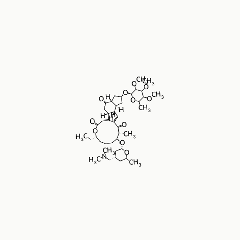 CC[C@H]1CCC[C@H](O[C@H]2C[C@@H](CN(C)C)CC(C)O2)[C@@H](C)C(=O)C2=C[C@@H]3[C@@H](CC(=O)[C@@H]4C[C@@H](O[C@@H]5OC(C)[C@H](OC)C(OC)C5OC)C[C@@H]34)[C@@H]2CC(=O)O1